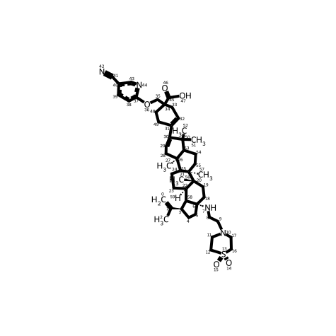 C=C(C)[C@@H]1CC[C@]2(NCCN3CCS(=O)(=O)CC3)CC[C@]3(C)[C@H](CCC4[C@@]5(C)CC=C(C6=CCC(COc7ccc(C#N)cn7)(C(=O)O)CC6)C(C)(C)C5CC[C@]43C)C12